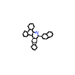 c1ccc2c(c1)C1CC2c2c1c(-c1ccc3ccccc3c1)nc1c3ccccc3c3ccccc3c21